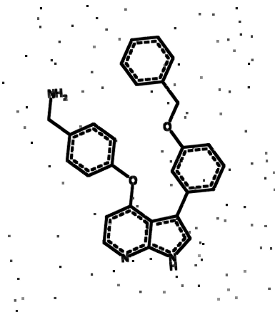 NCc1ccc(Oc2ccnc3[nH]cc(-c4cccc(OCc5ccccc5)c4)c23)cc1